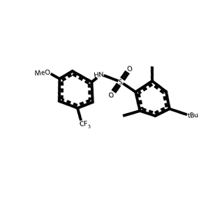 COc1cc(NS(=O)(=O)c2c(C)cc(C(C)(C)C)cc2C)cc(C(F)(F)F)c1